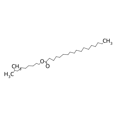 CCCCCCCCCCCCCCCCCC(=O)OCCCCCCCC(C)C